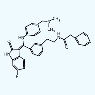 CN(C)Cc1ccc(N/C(=C2\C(=O)Nc3cc(F)ccc32)c2cccc(CCNC(=O)Cc3ccccc3)c2)cc1